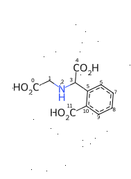 O=C(O)CNC(C(=O)O)c1ccccc1C(=O)O